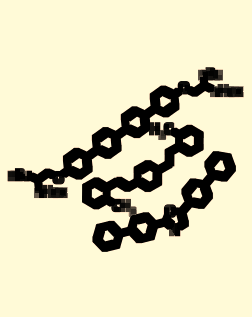 CCCCCCC(CCCC)COc1ccc(-c2ccc(-c3ccc(-c4ccc(OCC(CCCC)CCCCCC)cc4)cc3)cc2)cc1.Cc1ccccc1C=Cc1ccc(C=Cc2ccccc2C)cc1.c1ccc(-c2ccc(-c3cnc(-c4ccc(-c5ccccc5)cc4)o3)cc2)cc1